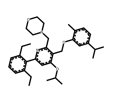 CCc1cccc(CC)c1-c1cc(OC(C)C)c(COc2cc(C(C)C)ccc2C)c(CN2CCOCC2)n1